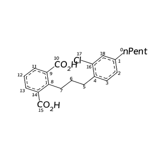 CCCCCc1ccc(CCCc2c(C(=O)O)cccc2C(=O)O)c(Cl)c1